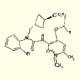 C=N/C(C)=C\C(OC(F)F)=C(/C)NC(=O)N(C[C@H]1C[C@H](C(=O)O)C1)c1ccccc1C(C)C